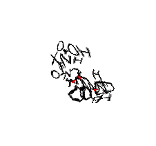 Cc1nc2ccccc2n1C1C[C@H]2CC[C@@H](C1)N2CCC1(c2cccc(F)c2)CCN(C(=O)[C@@H](NC(=O)O)C(C)(C)C)CC1